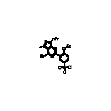 CCCc1nn(C)c2c(Br)nc(-c3cc(S(=O)(=O)Cl)ccc3OCC)nc12